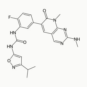 CNc1ncc2cc(-c3ccc(F)c(NC(=O)Nc4cc(C(C)C)no4)c3)c(=O)n(C)c2n1